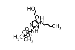 CCCCNc1nc(NC(=O)OC(C)(C)C)ncc1OCCO